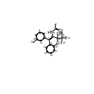 CC(=O)NC1=C(c2cccc(C)c2)c2ccccc2OC1(O)C(F)(F)F